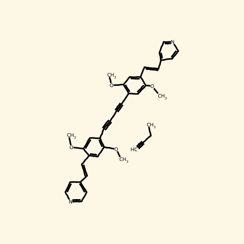 C#CCC.COc1cc(C=Cc2ccncc2)c(OC)cc1C#CC#Cc1cc(OC)c(C=Cc2ccncc2)cc1OC